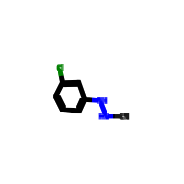 N#CNNc1cccc(Cl)c1